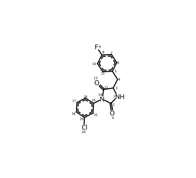 O=C1NC(Cc2ccc(F)cc2)C(=O)N1c1cccc(Cl)c1